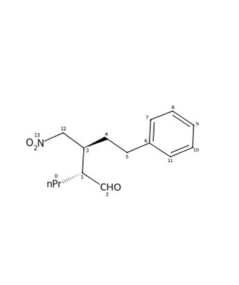 CCC[C@@H](C=O)[C@H](CCc1ccccc1)C[N+](=O)[O-]